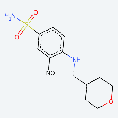 NS(=O)(=O)c1ccc(NCC2CCOCC2)c(N=O)c1